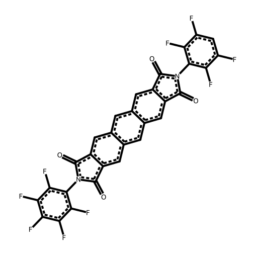 O=c1c2cc3cc4cc5c(=O)n(-c6c(F)c(F)c(F)c(F)c6F)c(=O)c5cc4cc3cc2c(=O)n1-c1c(F)c(F)cc(F)c1F